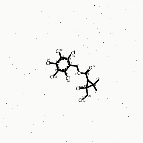 CC1(C)C(C(=O)OCc2c(Cl)c(Cl)c(Cl)c(Cl)c2Cl)C1(Cl)CCl